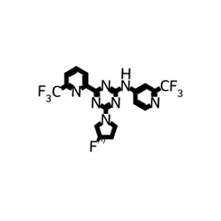 F[C@@H]1CCN(c2nc(Nc3ccnc(C(F)(F)F)c3)nc(-c3cccc(C(F)(F)F)n3)n2)C1